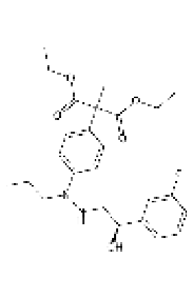 CCCN(NC[C@H](O)c1cccc(Cl)c1)c1ccc(C(C)(C(=O)OCC)C(=O)OCC)cc1